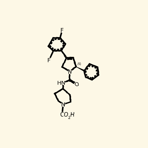 O=C(O)N1CCC(NC(=O)N2CC(c3cc(F)ccc3F)=C[C@H]2c2ccccc2)CC1